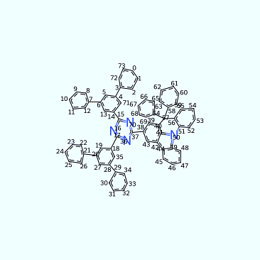 c1ccc(-c2cc(-c3ccccc3)cc(-c3nc(-c4cc(-c5ccccc5)cc(-c5ccccc5)c4)nc(-c4cc5c6c(c4)c4ccccc4n6-c4ccccc4C5(c4ccccc4)c4ccccc4)n3)c2)cc1